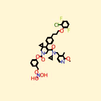 COc1nccc(CN(C(=O)C2=C(c3ccc(CCCOc4c(F)ccc(F)c4Cl)cc3)C3(CC3)CN(C(=O)Oc3cccc(CON(O)O)c3)C2)C2CC2)c1C